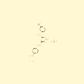 FC(F)(F)COc1nc(NCc2ccc(N3CCOCC3)cc2)nc(Nc2cccc(C(F)(F)F)c2)n1